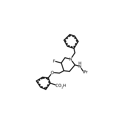 CC(C)NC1CC(COc2ccccc2C(=O)O)C(F)CN1Cc1ccccc1